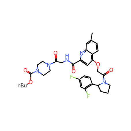 CCCCOC(=O)N1CCN(C(=O)CNC(=O)c2cc(OCC(=O)N3CCCC3c3ccc(F)cc3F)c3ccc(C)cc3n2)CC1